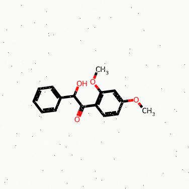 COc1ccc(C(=O)C(O)c2ccccc2)c(OC)c1